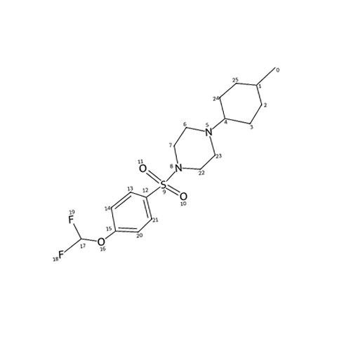 CC1CCC(N2CCN(S(=O)(=O)c3ccc(OC(F)F)cc3)CC2)CC1